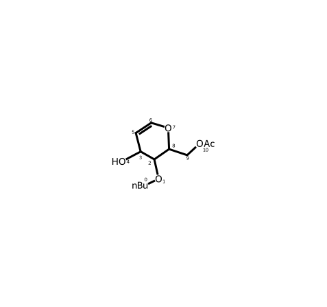 CCCCOC1C(O)C=COC1COC(C)=O